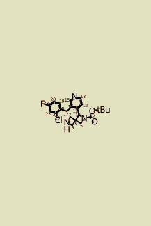 CC(C)(C)OC(=O)N1CC2(CNC2)C1c1ccncc1Cc1ccc(F)cc1Cl